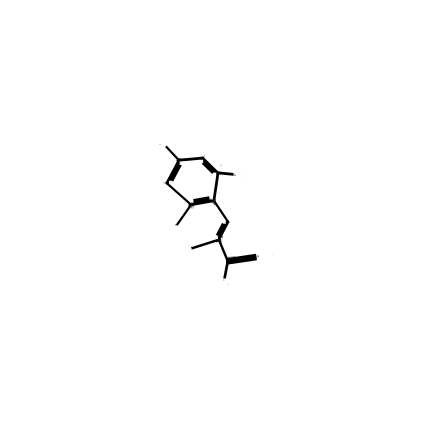 CC(=Cc1c(Cl)cc(Br)cc1Cl)C(=O)O